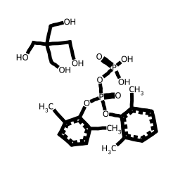 Cc1cccc(C)c1OP(=O)(Oc1c(C)cccc1C)OP(=O)(O)O.OCC(CO)(CO)CO